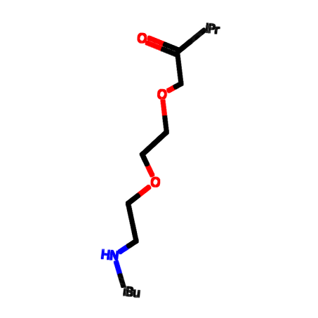 CCC(C)NCCOCCOCC(=O)C(C)C